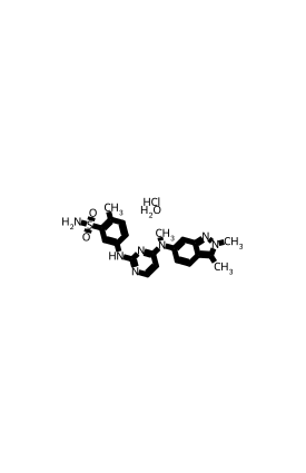 Cc1ccc(Nc2nccc(N(C)c3ccc4c(C)n(C)nc4c3)n2)cc1S(N)(=O)=O.Cl.O